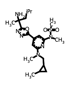 CC(C)CC(C)(N)c1nnc(-c2cc(N(C)CC3CC3C)nc(N(C)S(C)(=O)=O)c2)o1